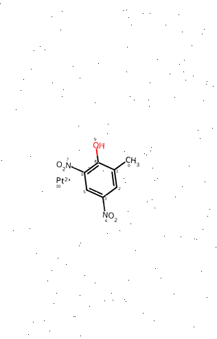 Cc1cc([N+](=O)[O-])cc([N+](=O)[O-])c1O.[Pt+2]